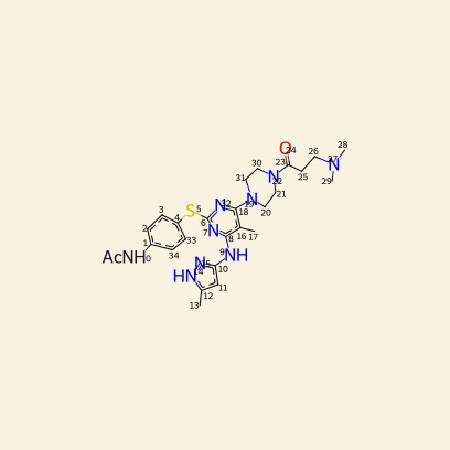 CC(=O)Nc1ccc(Sc2nc(Nc3cc(C)[nH]n3)c(C)c(N3CCN(C(=O)CCN(C)C)CC3)n2)cc1